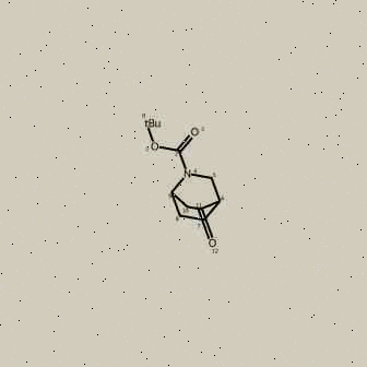 CC(C)(C)OC(=O)N1CC2CCC1CC2=O